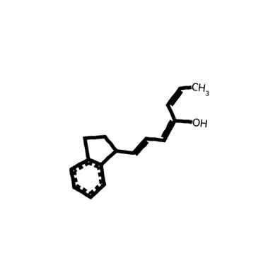 C\C=C/C(O)=C\C=C\C1CCc2ccccc21